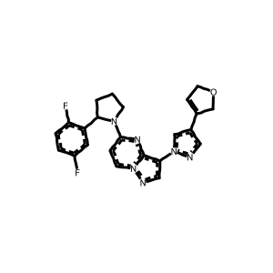 Fc1ccc(F)c(C2CCCN2c2ccn3ncc(-n4cc(C5=CCOC5)cn4)c3n2)c1